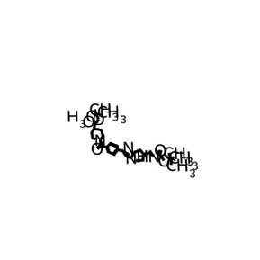 CC(C)(C)OC(=O)NCC1CCn2cc(-c3ccc(C(=O)N4CCC(C(=O)OC(C)(C)C)CC4)cc3)nc2C1